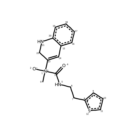 C[N+]([O-])(C(=O)NCCc1cccs1)C1=Cc2ccccc2NC1